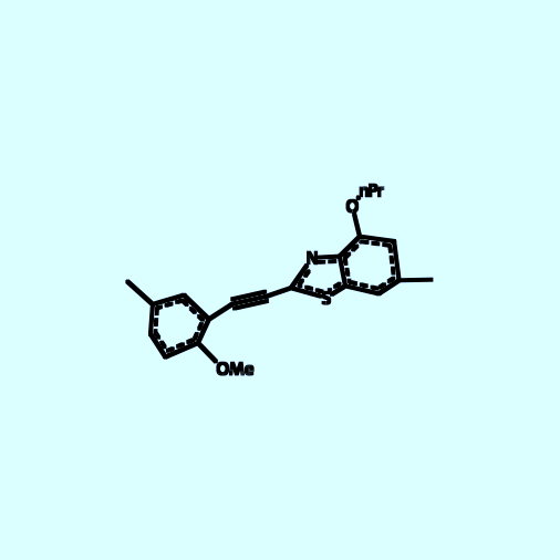 CCCOc1cc(C)cc2sc(C#Cc3cc(C)ccc3OC)nc12